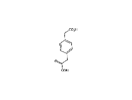 COC(=O)Cc1ccc(CC(=O)O)cc1